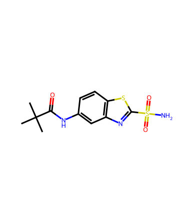 CC(C)(C)C(=O)Nc1ccc2sc(S(N)(=O)=O)nc2c1